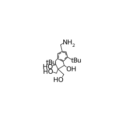 CC(C)(C)c1cc(CN)cc(C(C)(C)C)c1C(O)C(CO)(CO)CO